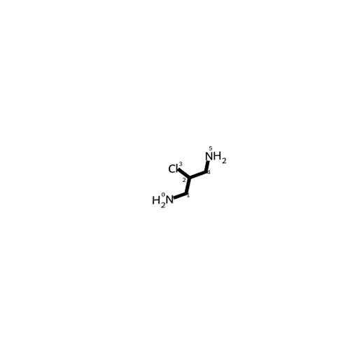 NCC(Cl)CN